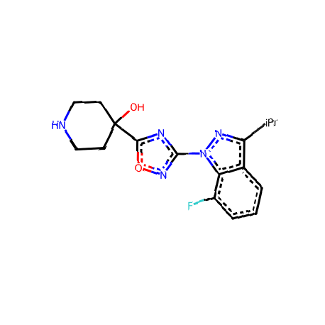 CC(C)c1nn(-c2noc(C3(O)CCNCC3)n2)c2c(F)cccc12